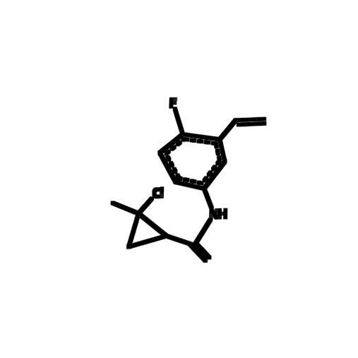 C=Cc1cc(NC(=C)C2CC2(C)Cl)ccc1F